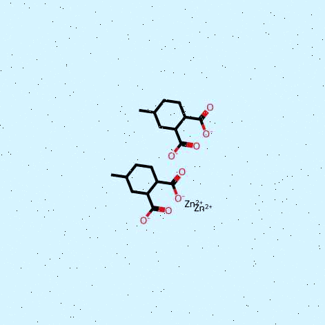 CC1CCC(C(=O)[O-])C(C(=O)[O-])C1.CC1CCC(C(=O)[O-])C(C(=O)[O-])C1.[Zn+2].[Zn+2]